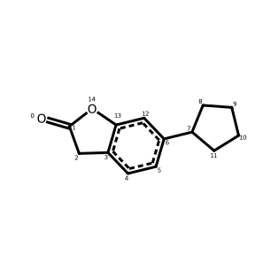 O=C1Cc2ccc(C3CCCC3)cc2O1